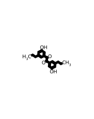 CCCc1cc(O)cc(C(=O)C(=O)c2cc(O)cc(CCC)c2)c1